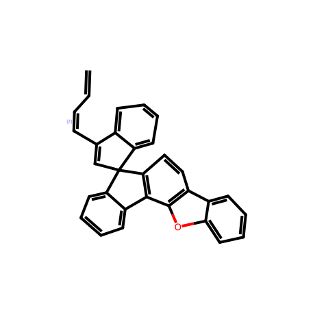 C=C/C=C\C1=CC2(c3ccccc31)c1ccccc1-c1c2ccc2c1oc1ccccc12